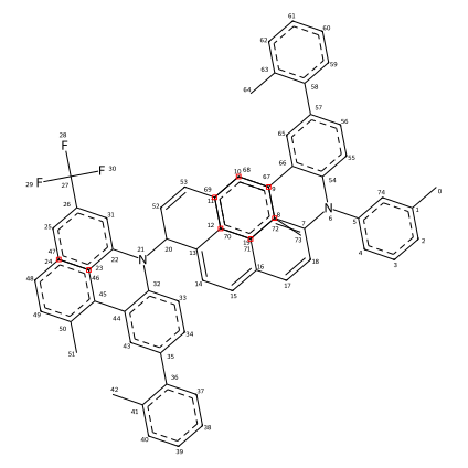 Cc1cccc(N(C2=C3C=CC4=C5C(=CC=C(C=C2)C35)C(N(c2cccc(C(F)(F)F)c2)c2ccc(-c3ccccc3C)cc2-c2ccccc2C)C=C4)c2ccc(-c3ccccc3C)cc2-c2ccccc2C)c1